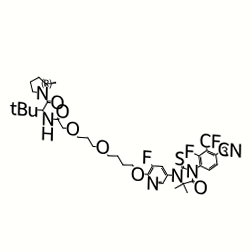 C[C@@H]1CCCN1C(=O)C(NC(=O)COCCCOCCCCOc1ncc(N2C(=S)N(c3ccc(C#N)c(C(F)(F)F)c3F)C(=O)C2(C)C)cc1F)C(C)(C)C